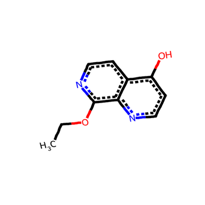 CCOc1nccc2c(O)ccnc12